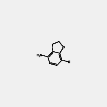 Nc1ccc(Cl)c2c1CCO2